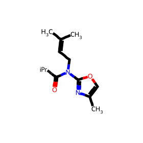 CC(C)=CCN(C(=O)C(C)C)c1nc(C)co1